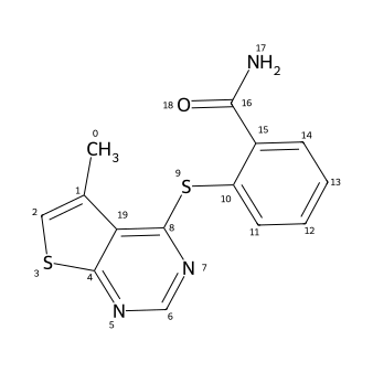 Cc1csc2ncnc(Sc3ccccc3C(N)=O)c12